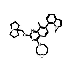 Cc1c(-c2cccc3ccn(C)c23)ccc2c(N3CCCOCC3)nc(OCC34CCCN3CCC4)nc12